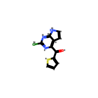 O=C(c1cccs1)c1nc(Cl)nc2[nH]ccc12